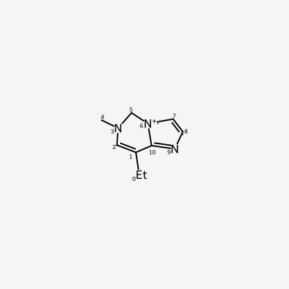 CCC1=CN(C)C[N+]2C=[C]N=C12